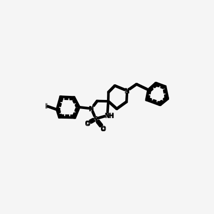 O=S1(=O)NC2(CCN(Cc3ccccc3)CC2)CN1c1ccc(I)cc1